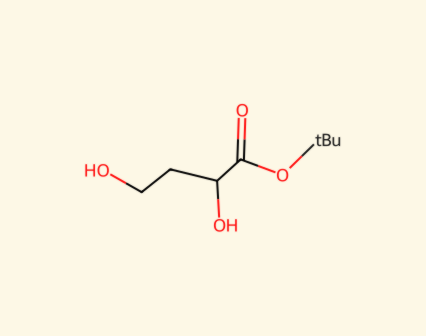 CC(C)(C)OC(=O)C(O)CCO